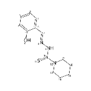 Oc1ccccc1/C=N/NC(=S)N1CCCCC1